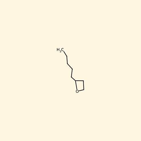 CCCCCC1CCO1